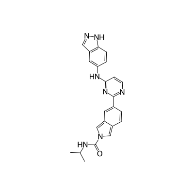 CC(C)NC(=O)n1cc2ccc(-c3nccc(Nc4ccc5[nH]ncc5c4)n3)cc2c1